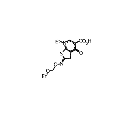 CCOCO/N=C1/Cc2c(n(CC)cc(C(=O)O)c2=O)S1